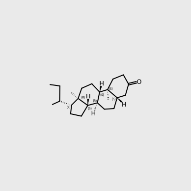 CCC(C)[C@H]1CC[C@H]2[C@@H]3CC[C@H]4CC(=O)CC[C@]4(C)[C@H]3CC[C@]12C